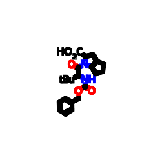 CC(C)(C)C(NC(=O)OCc1ccccc1)C(=O)N1C(C(=O)O)CC2CCCC21